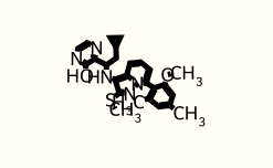 COc1cc(C)cc(C)c1-c1cccc2c(NC(CC3CC3)c3nccnc3O)c(SC)nn12